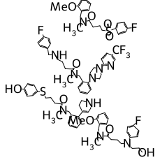 CN(Cc1ccccc1C1=CCNCC1)C(=O)CCCSc1ccc(O)cc1.CN(Cc1ccccc1N1CCN(c2ccc(C(F)(F)F)cn2)CC1)C(=O)CCCNCc1ccc(F)cc1.COc1ccccc1CN(C)C(=O)CCCN(CCO)c1ccc(F)cc1.COc1ccccc1CN(C)C(=O)CCCS(=O)(=O)c1ccc(F)cc1